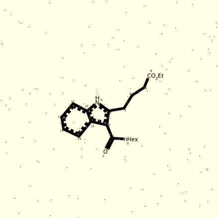 CCCCCCC(=O)c1c(CCCC(=O)OCC)[nH]c2ccccc12